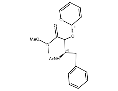 CON(C)C(=O)C(O[C@H]1C=CC=CO1)[C@@H](Cc1ccccc1)NC(C)=O